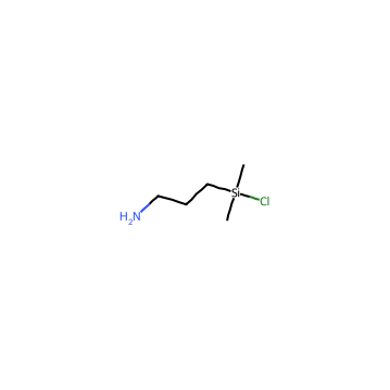 C[Si](C)(Cl)CCCN